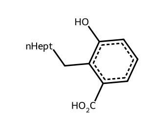 CCCCCCCCc1c(O)cccc1C(=O)O